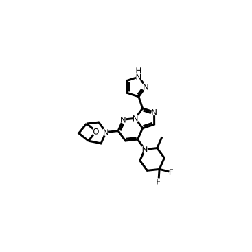 CC1CC(F)(F)CCN1c1cc(N2CC3CC(C2)O3)nn2c(-c3cc[nH]n3)ncc12